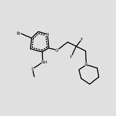 CSNc1cc(Br)cnc1OCC(F)(F)CN1CCCCC1